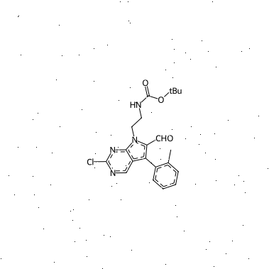 Cc1ccccc1-c1c(C=O)n(CCNC(=O)OC(C)(C)C)c2nc(Cl)ncc12